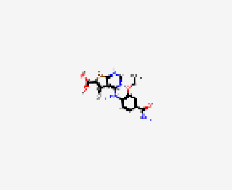 CCOc1cc(C(N)=O)ccc1Nc1ncnc2sc(C(=O)O)c(C)c12